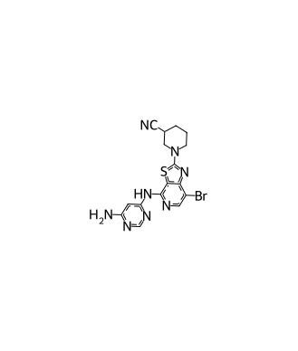 N#CC1CCCN(c2nc3c(Br)cnc(Nc4cc(N)ncn4)c3s2)C1